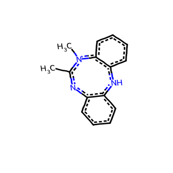 Cc1nc2ccccc2[nH]c2ccccc2n1C